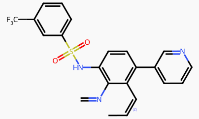 C=Nc1c(NS(=O)(=O)c2cccc(C(F)(F)F)c2)ccc(-c2cccnc2)c1/C=C\C